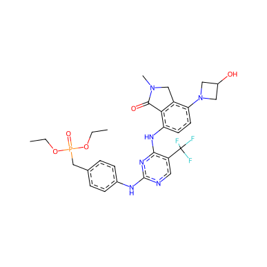 CCOP(=O)(Cc1ccc(Nc2ncc(C(F)(F)F)c(Nc3ccc(N4CC(O)C4)c4c3C(=O)N(C)C4)n2)cc1)OCC